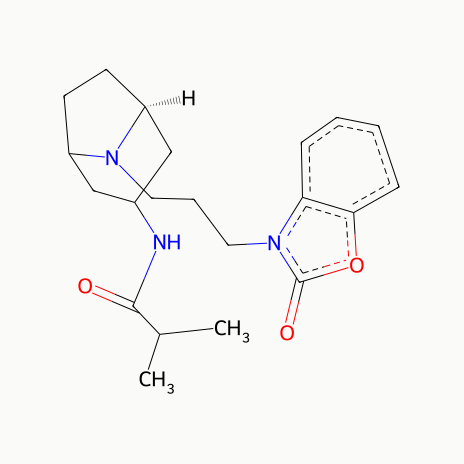 CC(C)C(=O)NC1CC2CC[C@@H](C1)N2CCCn1c(=O)oc2ccccc21